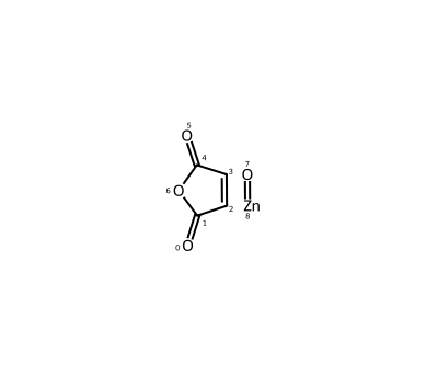 O=C1C=CC(=O)O1.[O]=[Zn]